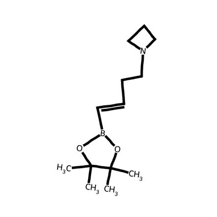 CC1(C)OB(/C=C/CCN2CCC2)OC1(C)C